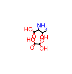 CC(O)C(N)C(=O)O.O=C(O)C(=O)O